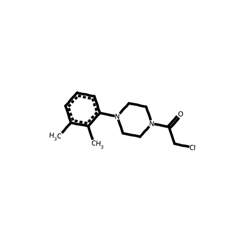 Cc1cccc(N2CCN(C(=O)CCl)CC2)c1C